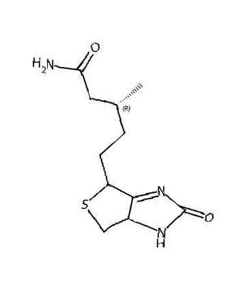 C[C@H](CCC1SCC2NC(=O)N=C21)CC(N)=O